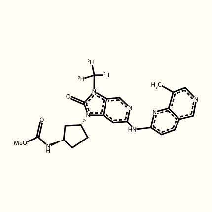 [2H]C([2H])([2H])n1c(=O)n([C@@H]2CC[C@@H](NC(=O)OC)C2)c2cc(Nc3ccc4cncc(C)c4n3)ncc21